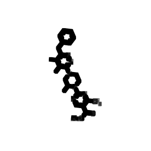 COC(=O)c1cnc(N2CCN(c3nnc(Cc4ccccc4)c(C)c3C)CC2C)nc1C(F)(F)F